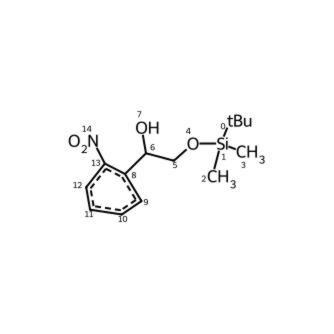 CC(C)(C)[Si](C)(C)OCC(O)c1ccccc1[N+](=O)[O-]